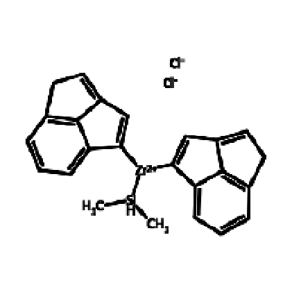 C[SiH](C)[Zr+2]([C]1=CC2=CCc3cccc1c32)[C]1=CC2=CCc3cccc1c32.[Cl-].[Cl-]